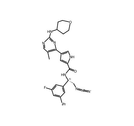 Cc1cnc(NC2CCOCC2)nc1-c1c[nH]c(C(=O)N[C@H](CN=[N+]=[N-])c2cc(F)cc(C(C)C)c2)c1